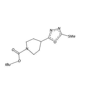 CSc1nnc(C2CCN(C(=O)OC(C)(C)C)CC2)o1